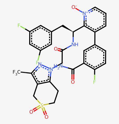 NC(=O)c1cc(-c2ccc[n+]([O-])c2[C@H](Cc2cc(F)cc(F)c2)NC(=O)Cn2nc(C(F)(F)F)c3c2CCS(=O)(=O)C3)ccc1F